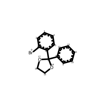 Brc1ccccc1C1(c2ccccc2)OCCO1